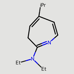 CCN(CC)C1=NC=CC(C(C)C)=CC1